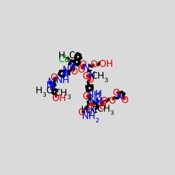 CCC(C)(CCO)n1cc(C(=O)NC2=Cn3cc(C(=O)N4C[C@@H](CCl)c5c4cc(OC(=O)N(CCOCCO)CCN(C)C(=O)OCc4ccc(NC(=O)[C@H](CCCNC(N)=O)NC(=O)[C@@H](NC(=O)OCCOCCN6C(=O)C=CC6=O)C(C)C)cc4)c4cccc(C)c54)nc3CC2)nn1